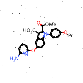 COC(=O)c1c(C(=O)O)c2cc(Oc3cccc(N)n3)ccc2n1-c1ccc(OC(C)C)cc1